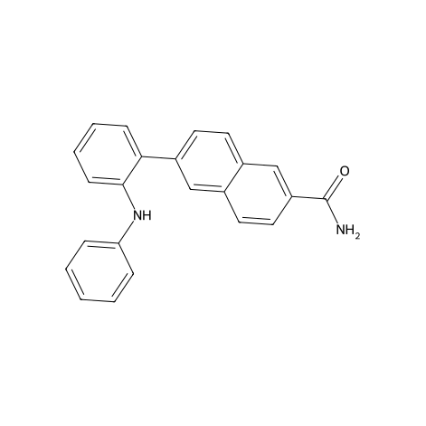 NC(=O)c1ccc2cc(-c3ccccc3Nc3ccccc3)ccc2c1